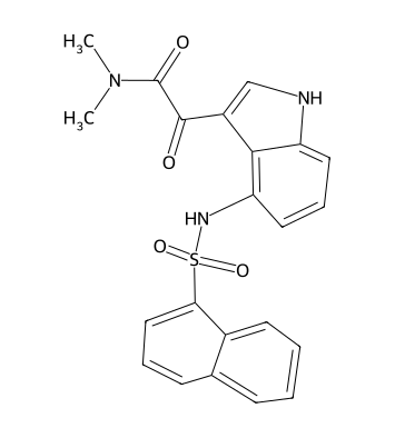 CN(C)C(=O)C(=O)c1c[nH]c2cccc(NS(=O)(=O)c3cccc4ccccc34)c12